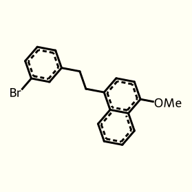 COc1ccc(CCc2cccc(Br)c2)c2ccccc12